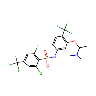 CC(Oc1cc(NS(=O)(=O)c2c(Cl)cc(C(F)(F)F)cc2Cl)ccc1C(F)(F)F)N(C)C